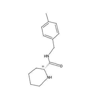 Cc1ccc(CNC(=O)[C@H]2CCCCN2)cc1